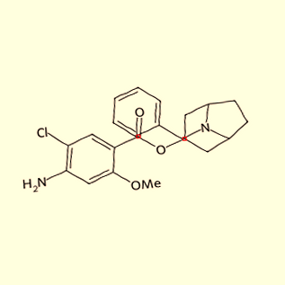 COc1cc(N)c(Cl)cc1C(=O)OC1CC2CCC(C1)N2Cc1ccccc1